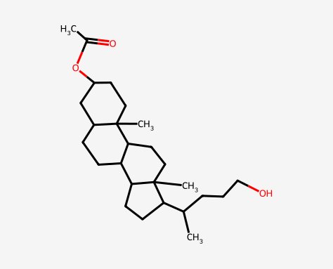 CC(=O)OC1CCC2(C)C(CCC3C2CCC2(C)C(C(C)CCCO)CCC32)C1